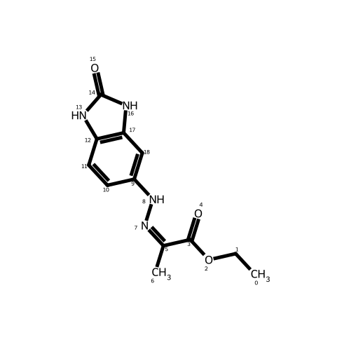 CCOC(=O)C(C)=NNc1ccc2[nH]c(=O)[nH]c2c1